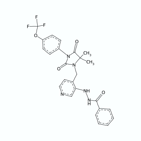 CC1(C)C(=O)N(c2ccc(OC(F)(F)F)cc2)C(=O)N1Cc1ccncc1NNC(=O)c1ccccc1